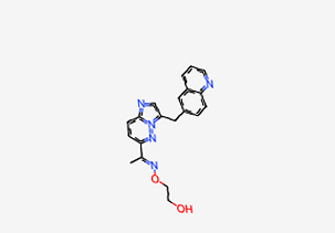 CC(=NOCCO)c1ccc2ncc(Cc3ccc4ncccc4c3)n2n1